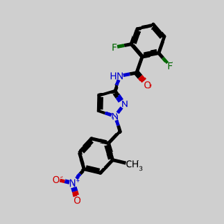 Cc1cc([N+](=O)[O-])ccc1Cn1ccc(NC(=O)c2c(F)cccc2F)n1